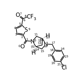 O=C(c1ccc(C(=O)C(F)(F)F)s1)N1C[C@@H]2C[C@H]1CN2Cc1ccc(Cl)cc1